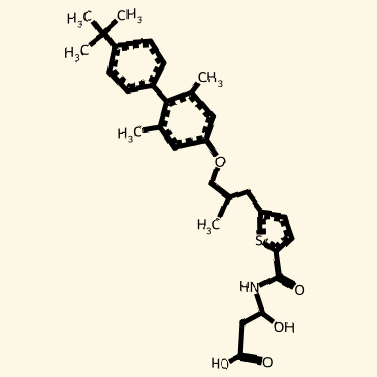 Cc1cc(OCC(C)Cc2ccc(C(=O)NC(O)CC(=O)O)s2)cc(C)c1-c1ccc(C(C)(C)C)cc1